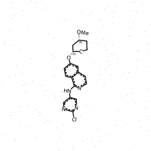 CO[C@@H]1CCC[C@H](Oc2ccc3c(Nc4cnc(Cl)nc4)nccc3c2)C1